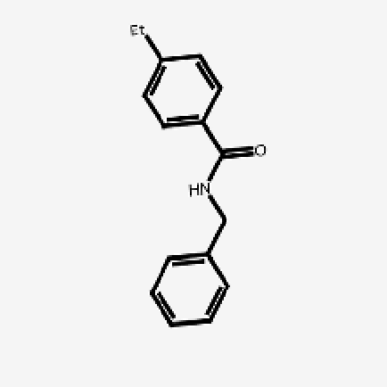 CCc1ccc(C(=O)NCc2ccccc2)cc1